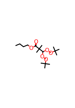 CCCCOC(=O)C(C)(C)C(OOC(C)(C)C)OOC(C)(C)C